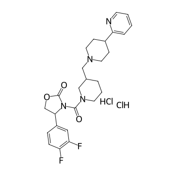 Cl.Cl.O=C1OCC(c2ccc(F)c(F)c2)N1C(=O)N1CCCC(CN2CCC(c3ccccn3)CC2)C1